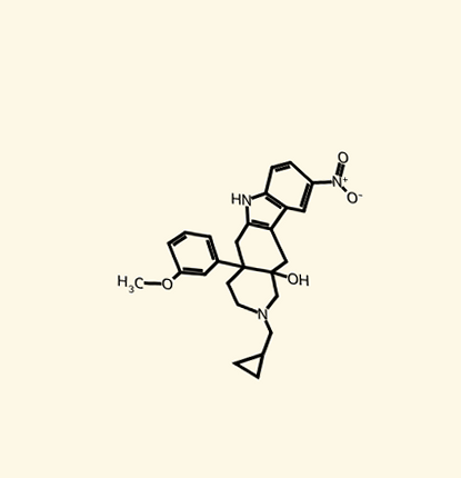 COc1cccc(C23CCN(CC4CC4)CC2(O)Cc2c([nH]c4ccc([N+](=O)[O-])cc24)C3)c1